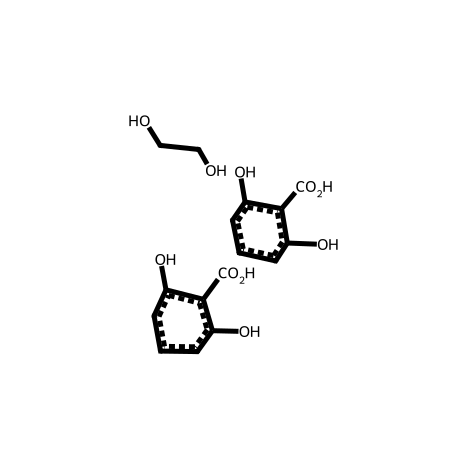 O=C(O)c1c(O)cccc1O.O=C(O)c1c(O)cccc1O.OCCO